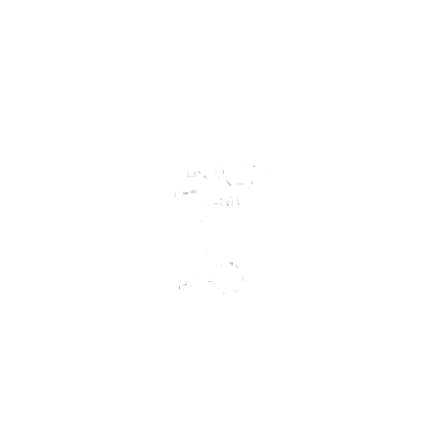 CNC(=O)C(CCCc1ccccc1O)NC(=O)OC(C)(C)C